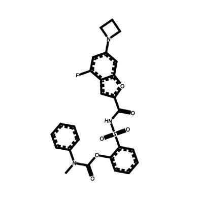 CN(C(=O)Oc1ccccc1S(=O)(=O)NC(=O)c1cc2c(F)cc(N3CCC3)cc2o1)c1ccccc1